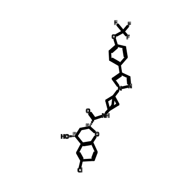 O=C(NC12CC(n3cc(-c4ccc(OC(F)(F)F)cc4)cn3)(C1)C2)[C@H]1C[C@@H](O)c2cc(Cl)ccc2O1